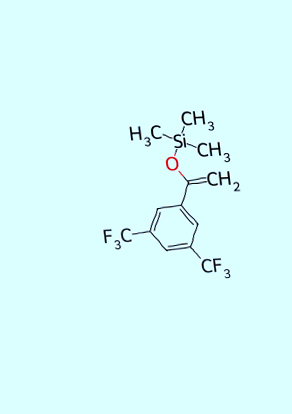 C=C(O[Si](C)(C)C)c1cc(C(F)(F)F)cc(C(F)(F)F)c1